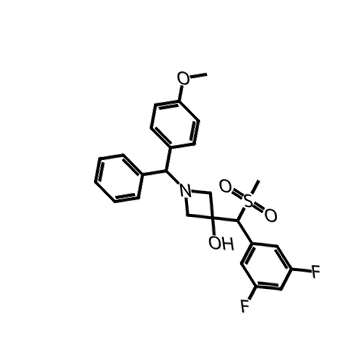 COc1ccc(C(c2ccccc2)N2CC(O)(C(c3cc(F)cc(F)c3)S(C)(=O)=O)C2)cc1